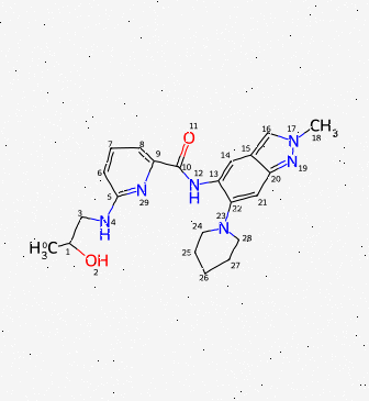 CC(O)CNc1cccc(C(=O)Nc2cc3cn(C)nc3cc2N2CCCCC2)n1